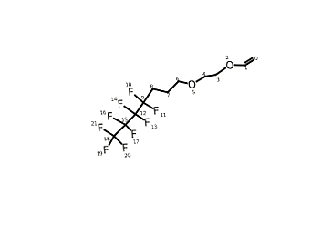 C=COCCOCCCC(F)(F)C(F)(F)C(F)(F)C(F)(F)F